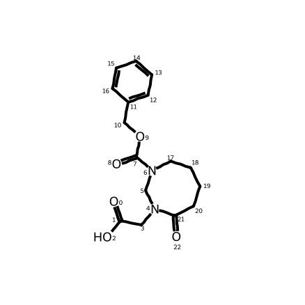 O=C(O)CN1CN(C(=O)OCc2ccccc2)CCCCC1=O